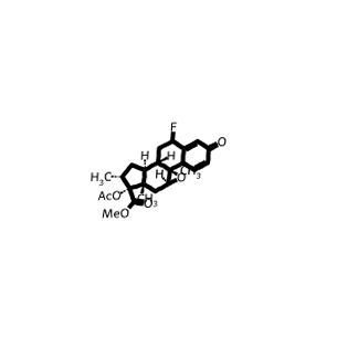 COC(=O)[C@@]1(OC(C)=O)[C@H](C)C[C@H]2[C@@H]3CC(F)C4=CC(=O)C=C[C@]4(C)[C@@]34O[C@H]4C[C@@]21C